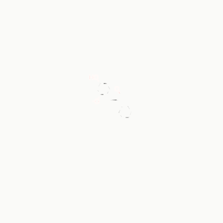 CCCCCc1ccc(/C(C=O)=C/c2ccc(O)cc2OC)cc1